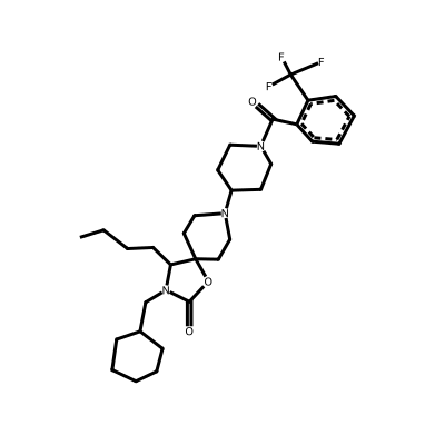 CCCCC1N(CC2CCCCC2)C(=O)OC12CCN(C1CCN(C(=O)c3ccccc3C(F)(F)F)CC1)CC2